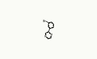 Brc1cccc(-c2cnccn2)c1